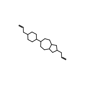 C=CCC1CCC(C2CCC3CC(CC=C)CC3CC2)CC1